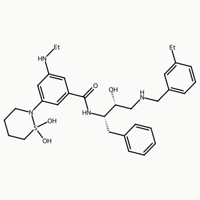 CCNc1cc(C(=O)N[C@@H](Cc2ccccc2)[C@H](O)CNCc2cccc(CC)c2)cc(N2CCCCS2(O)O)c1